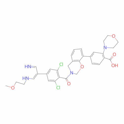 COCCN/C=C(\C=N)c1cc(Cl)c(C(=O)N2COc3c(cccc3-c3ccc(C(=O)O)c(N4CCOCC4)c3)C2)c(Cl)c1